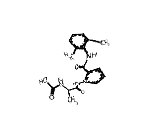 Cc1cccc(C)c1NC(=O)c1cccn1NC(=O)C(C)NC(=O)O